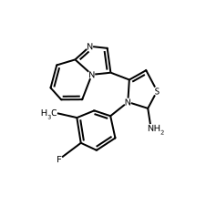 Cc1cc(N2C(c3cnc4ccccn34)=CSC2N)ccc1F